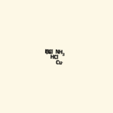 Cl.Cl.N.[Cu].[Cu]